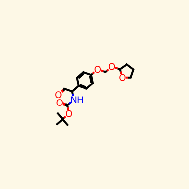 CC(C)(C)OC(=O)NC(C=O)c1ccc(OCOC2CCCO2)cc1